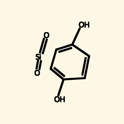 O=[Si]=O.Oc1ccc(O)cc1